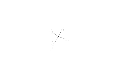 ClC(Cl)(Cl)Cl.[Ti]